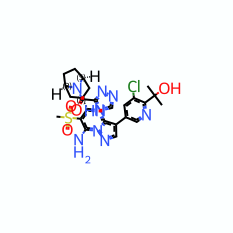 CC(C)(O)c1ncc(-c2cnn3c(N)c(S(C)(=O)=O)c([C@@H]4C[C@H]5CC[C@@H](C4)N5C(=O)c4nnc[nH]4)nc23)cc1Cl